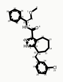 COC[C@@H](NC(=O)c1n[nH]c2c1CCCC[C@H]2Cc1cccc(Cl)c1)c1ccccc1